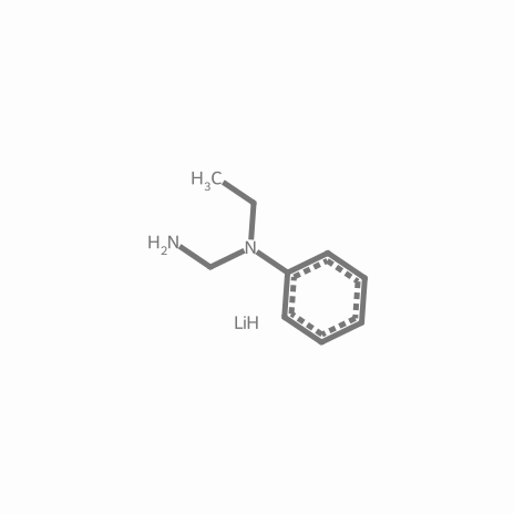 CCN(CN)c1ccccc1.[LiH]